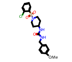 COc1ccc(CNC(=O)NC2CCN(S(=O)(=O)c3ccccc3Cl)CC2)cc1